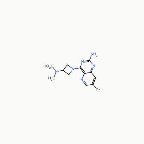 CCc1cnc2c(N3CC(N(C)C(=O)O)C3)nc(N)nc2c1